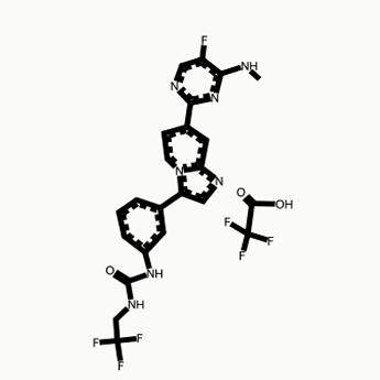 CNc1nc(-c2ccn3c(-c4cccc(NC(=O)NCC(F)(F)F)c4)cnc3c2)ncc1F.O=C(O)C(F)(F)F